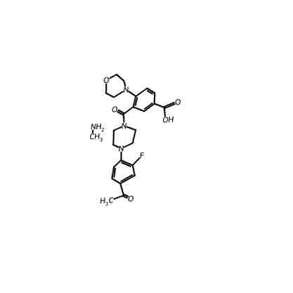 CC(=O)c1ccc(N2CCN(C(=O)c3cc(C(=O)O)ccc3N3CCOCC3)CC2)c(F)c1.CN